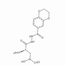 CCCCC[C@H](CN(O)C=O)C(=O)NNC(=O)c1ccc2c(c1)OCCO2